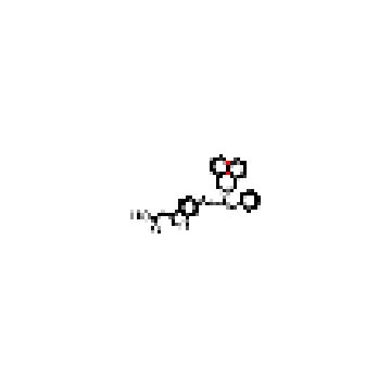 O=C(O)CC1COc2cc(OC[C@H](Cc3ccccc3)N(Cc3ccccc3)Cc3ccccc3)ccc21